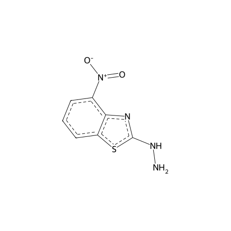 NNc1nc2c([N+](=O)[O-])cccc2s1